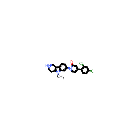 Cn1c2c(c3ccc(-n4ccc(-c5ccc(Cl)cc5Cl)cc4=O)cc31)CNCC2